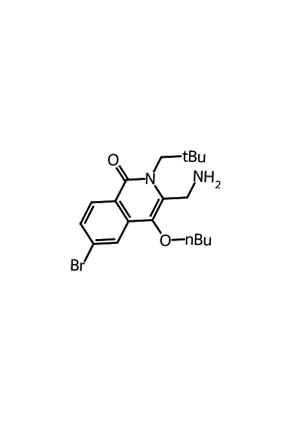 CCCCOc1c(CN)n(CC(C)(C)C)c(=O)c2ccc(Br)cc12